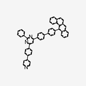 c1ccc(-c2nc(-c3ccc(-c4ccncc4)cc3)cc(-c3ccc(-c4ccc(-c5c6ccccc6cc6ccc7ccccc7c56)cc4)cc3)n2)cc1